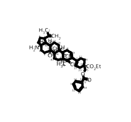 C=C(C)C1CC[C@]2(N)CC[C@]3(C)[C@H](CC[C@@H]4[C@@]5(C)CC=C(C6=CC[C@@](COC(=O)c7ccccc7)(C(=O)OCC)CC6)C(C)(C)[C@@H]5CC[C@]43C)[C@@H]12